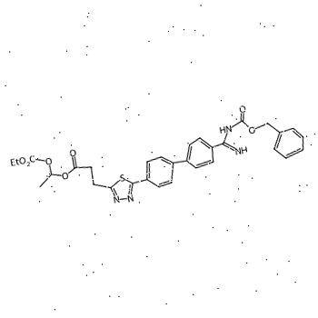 CCOC(=O)OC(C)OC(=O)CCc1nnc(-c2ccc(-c3ccc(C(=N)NC(=O)OCc4ccccc4)cc3)cc2)s1